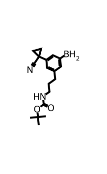 Bc1cc(CCCNC(=O)OC(C)(C)C)cc(C2(C#N)CC2)c1